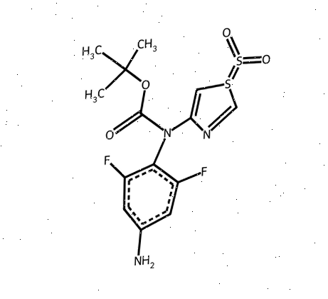 CC(C)(C)OC(=O)N(C1=CS(=S(=O)=O)C=N1)c1c(F)cc(N)cc1F